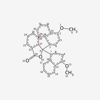 COc1ccc(C2(c3ccc(OC)c4ccccc34)OC(=O)c3ccccc32)c2ccccc12